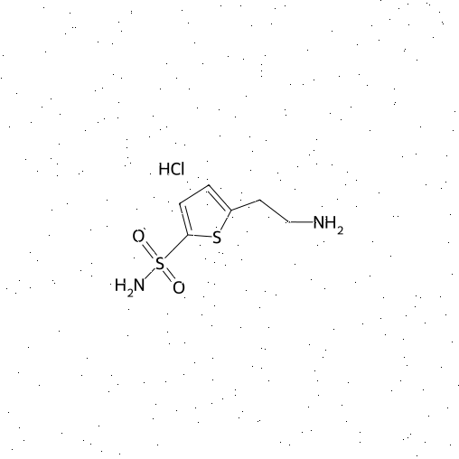 Cl.NCCc1ccc(S(N)(=O)=O)s1